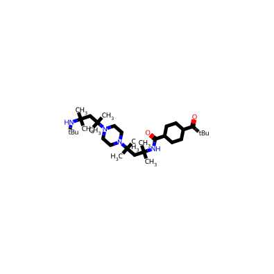 CC(C)(C)NC(C)(C)CC(C)(C)N1CCN(C(C)(C)CC(C)(C)NC(=O)C2CCC(C(=O)C(C)(C)C)CC2)CC1